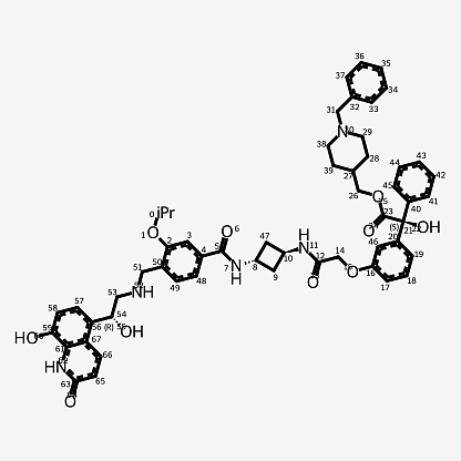 CC(C)Oc1cc(C(=O)N[C@H]2C[C@H](NC(=O)COc3cccc([C@](O)(C(=O)OCC4CCN(Cc5ccccc5)CC4)c4ccccc4)c3)C2)ccc1CNC[C@H](O)c1ccc(O)c2[nH]c(=O)ccc12